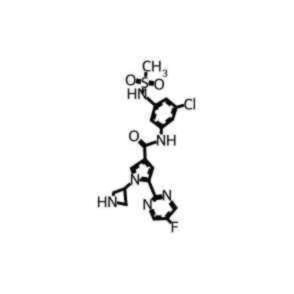 CS(=O)(=O)Nc1cc(Cl)cc(NC(=O)c2cc(-c3ncc(F)cn3)n(C3CNC3)c2)c1